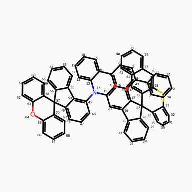 c1ccc(-c2ccc(-c3ccccc3N(c3ccc4c(c3)-c3ccccc3C43c4ccccc4Sc4cc5ccccc5cc43)c3cccc4c3-c3ccccc3C43c4ccccc4Oc4ccccc43)cc2)cc1